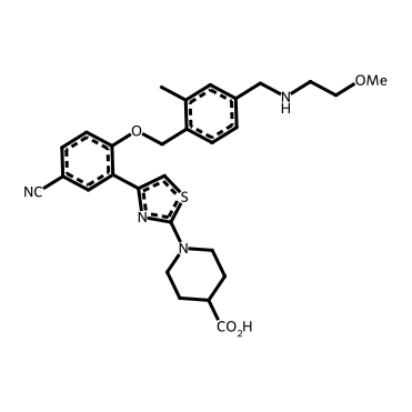 COCCNCc1ccc(COc2ccc(C#N)cc2-c2csc(N3CCC(C(=O)O)CC3)n2)c(C)c1